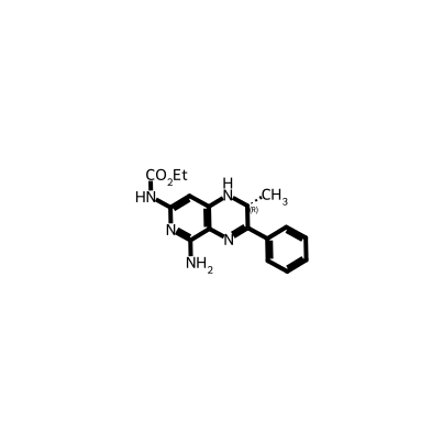 CCOC(=O)Nc1cc2c(c(N)n1)N=C(c1ccccc1)[C@@H](C)N2